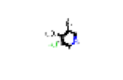 CCc1cnccc1C(=O)O.Cl